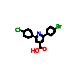 O=C(O)c1cc(-c2ccc(Cl)cc2)nc(-c2ccc(Br)cc2)c1